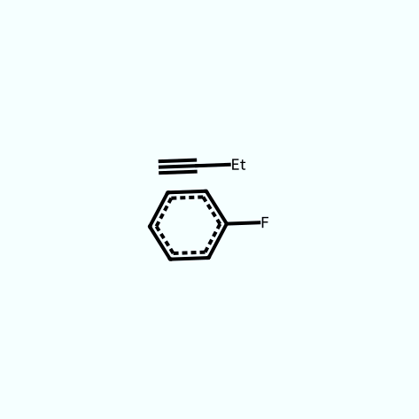 C#CCC.Fc1ccccc1